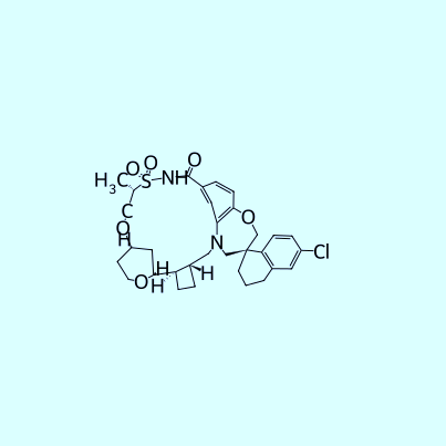 C[C@H]1CO[C@@H]2CCO[C@H](C2)[C@@H]2CC[C@H]2CN2C[C@@]3(CCCc4cc(Cl)ccc43)COc3ccc(cc32)C(=O)NS1(=O)=O